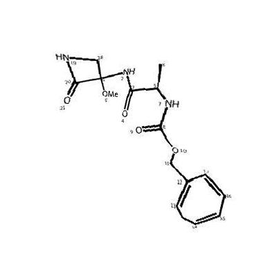 COC1(NC(=O)[C@@H](C)NC(=O)OCc2ccccc2)CNC1=O